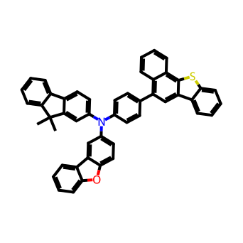 CC1(C)c2ccccc2-c2ccc(N(c3ccc(-c4cc5c6ccccc6sc5c5ccccc45)cc3)c3ccc4oc5ccccc5c4c3)cc21